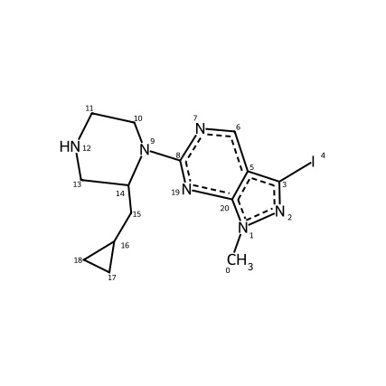 Cn1nc(I)c2cnc(N3CCNCC3CC3CC3)nc21